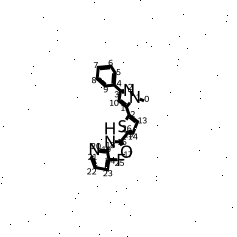 Cn1nc(-c2ccccc2)cc1-c1ccc(C(=O)Nc2ncccc2F)s1